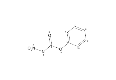 O=C([N][N+](=O)[O-])Oc1ccccc1